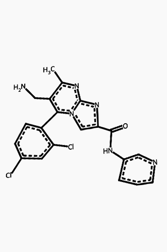 Cc1nc2nc(C(=O)Nc3cccnc3)cn2c(-c2ccc(Cl)cc2Cl)c1CN